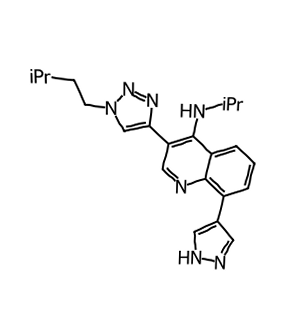 CC(C)CCn1cc(-c2cnc3c(-c4cn[nH]c4)cccc3c2NC(C)C)nn1